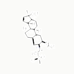 C[C@]12CC(=N/O)/C(=N/NS(C)(=O)=O)C=C1CC[C@@H]1[C@@H]2CC[C@@]2(C)[C@H]1C=C[C@]2(C)O